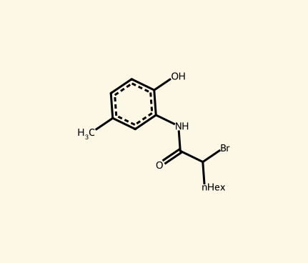 CCCCCCC(Br)C(=O)Nc1cc(C)ccc1O